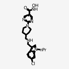 CCCn1cc(CNCC2CCN(c3ncc(C(=O)NO)cn3)CC2)c2ccc(Cl)cc21